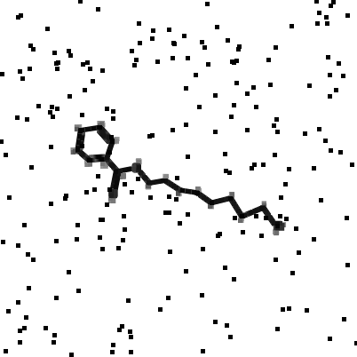 CC(C)CCCCCCCCOC(=O)c1ccccc1